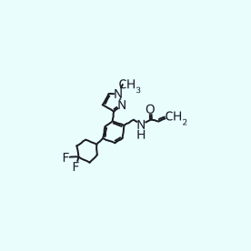 C=CC(=O)NCc1ccc(C2CCC(F)(F)CC2)cc1-c1ccn(C)n1